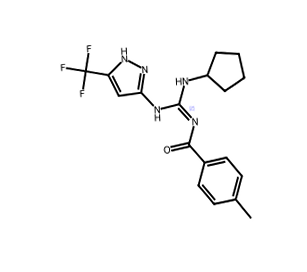 Cc1ccc(C(=O)/N=C(\Nc2cc(C(F)(F)F)[nH]n2)NC2CCCC2)cc1